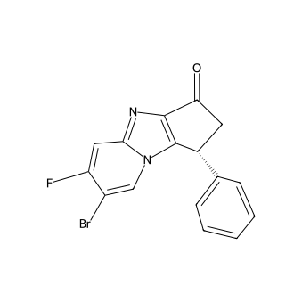 O=C1C[C@H](c2ccccc2)c2c1nc1cc(F)c(Br)cn21